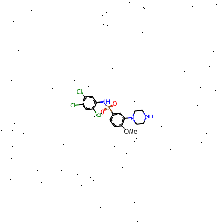 COc1ccc(S(=O)(=O)Nc2cc(Cl)c(Cl)cc2Cl)cc1N1CCNCC1